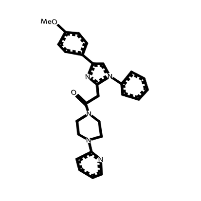 COc1ccc(-c2cn(-c3ccccc3)c(CC(=O)N3CCN(c4ccccn4)CC3)n2)cc1